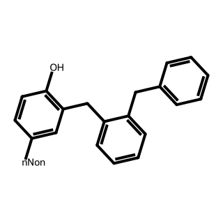 CCCCCCCCCc1ccc(O)c(Cc2ccccc2Cc2ccccc2)c1